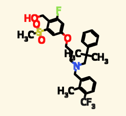 Cc1c(CN(CCCOc2cc(F)c(CO)c(S(C)(=O)=O)c2)CC(C)(C)c2ccccc2)cccc1C(F)(F)F